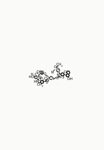 C=CC(=O)N1CCN(c2nc(OCCN3CCC(OCCOc4cc([C@H](C(=O)N5CC(O)CC5C(=O)N[C@@H](C)c5ccc(-c6scnc6C)cc5)C(C)C)on4)CC3)nc3c(F)c(-c4cc(O)cc5ccccc45)c(Cl)cc23)C[C@@H]1CC#N